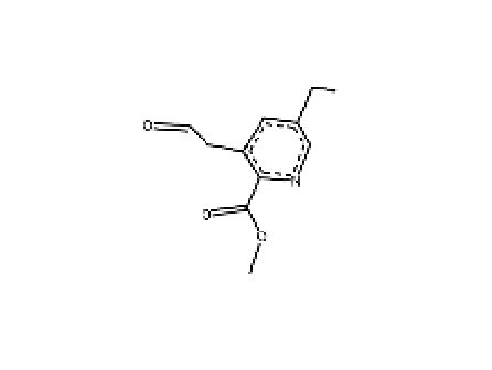 CCc1cnc(C(=O)OC)c(CC=O)c1